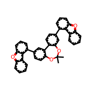 CC1(C)Oc2cc(-c3cccc4oc5ccccc5c34)ccc2-c2cc(-c3cccc4oc5ccccc5c34)ccc2O1